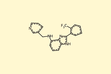 FC(F)(F)c1ccccc1-c1nc2c(NCc3cccnc3)cccc2[nH]1